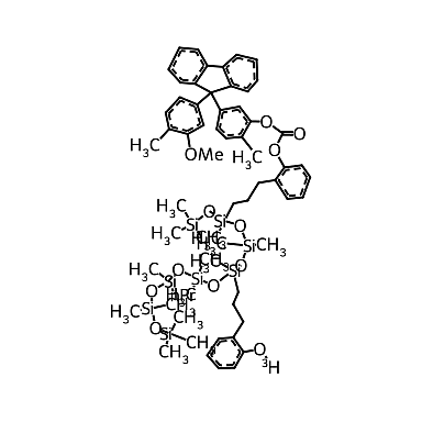 [3H]Oc1ccccc1CCC[Si](C)(O[Si](C)(C)O[Si](C)(CCCc1ccccc1OC(=O)Oc1cc(C2(c3ccc(C)c(OC)c3)c3ccccc3-c3ccccc32)ccc1C)O[Si](C)(C)C)O[Si](C)(C)O[Si](C)(CCC)O[Si](C)(C)O[Si](C)(C)C